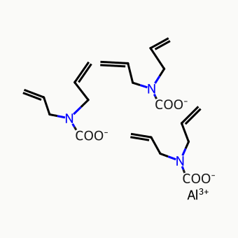 C=CCN(CC=C)C(=O)[O-].C=CCN(CC=C)C(=O)[O-].C=CCN(CC=C)C(=O)[O-].[Al+3]